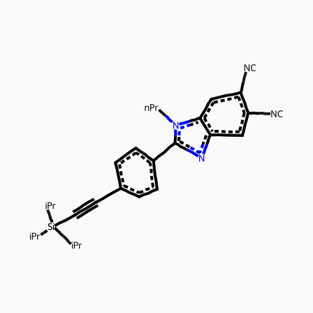 [C-]#[N+]c1cc2nc(-c3ccc(C#C[Si](C(C)C)(C(C)C)C(C)C)cc3)n(CCC)c2cc1[N+]#[C-]